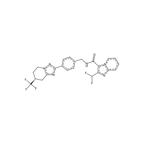 O=C(NCc1ccc(-c2nc3n(n2)CC[C@H](C(F)(F)F)C3)cc1)c1c(C(F)F)nc2ccccn12